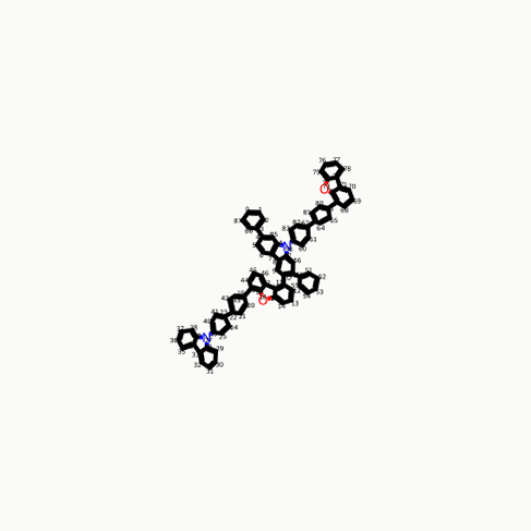 c1ccc(-c2ccc3c4cc(-c5cccc6oc7c(-c8ccc(-c9ccc(-n%10c%11ccccc%11c%11ccccc%11%10)cc9)cc8)cccc7c56)c(-c5ccccc5)cc4n(-c4ccc(-c5ccc(-c6cccc7c6oc6ccccc67)cc5)cc4)c3c2)cc1